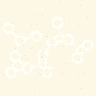 c1ccc(-c2nc(-c3ccccc3)nc(-c3ccc4c5ccccc5c5ccc(-n6c7ccccc7c7cc(-c8ccc9c(c8)c8cc(-n%10c%11ccccc%11c%11ccccc%11%10)ccc8n9-c8ccccc8)ccc76)cc5c4c3)n2)cc1